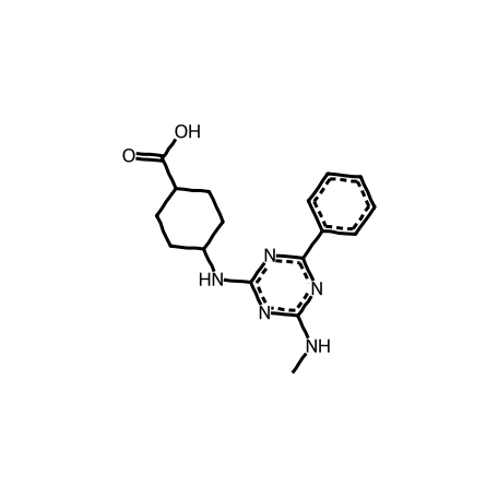 CNc1nc(NC2CCC(C(=O)O)CC2)nc(-c2ccccc2)n1